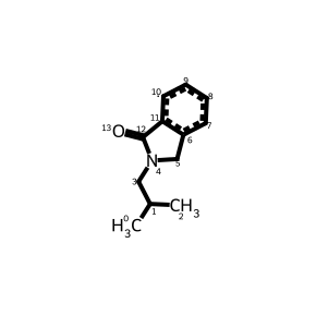 CC(C)CN1Cc2ccc[c]c2C1=O